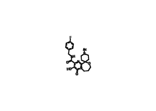 CC(=O)N1CCC2(CC1)OCCCn1c2nc(C(=O)NCc2ccc(F)cc2)c(O)c1=O